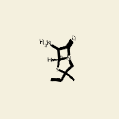 C=CC1(C)CN2C(=O)C(N)[C@H]2S1